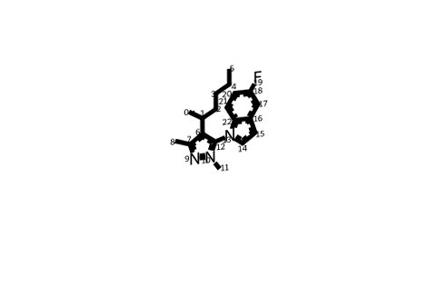 [CH2]C(CCCC)c1c(C)nn(C)c1-n1ccc2cc(F)ccc21